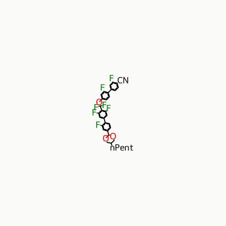 CCCCCC1COC(c2ccc(-c3cc(F)c(C(F)(F)Oc4ccc(-c5ccc(C#N)c(F)c5)c(F)c4)c(F)c3)c(F)c2)OC1